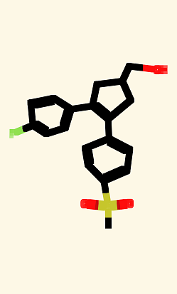 CS(=O)(=O)c1ccc(C2=C(c3ccc(F)cc3)CC(CO)C2)cc1